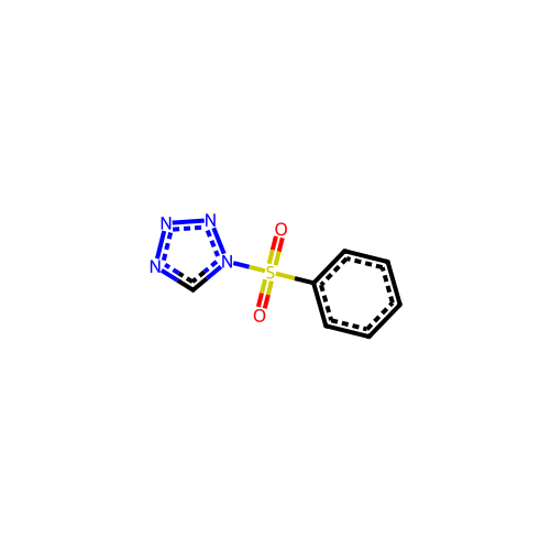 O=S(=O)(c1ccccc1)n1cnnn1